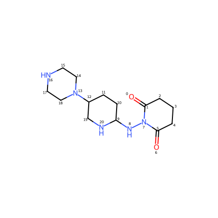 O=C1CCCC(=O)N1NC1CCC(N2CCNCC2)CN1